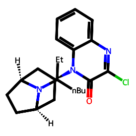 CCCCC(CC)N1[C@@H]2CC[C@H]1C[C@@H](n1c(=O)c(Cl)nc3ccccc31)C2